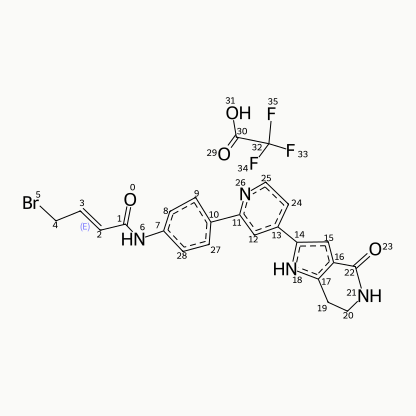 O=C(/C=C/CBr)Nc1ccc(-c2cc(-c3cc4c([nH]3)CCNC4=O)ccn2)cc1.O=C(O)C(F)(F)F